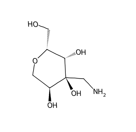 NC[C@]1(O)[C@@H](O)CO[C@H](CO)[C@@H]1O